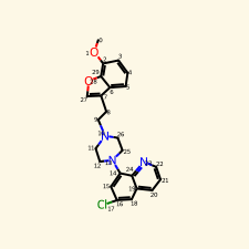 COc1cccc2c(CCN3CCN(c4cc(Cl)cc5cccnc45)CC3)coc12